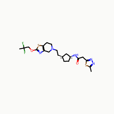 Cc1nnc(CC(=O)N[C@H]2CC[C@@H](CCN3CCc4sc(OCC(C)(F)F)nc4C3)C2)s1